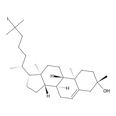 C[C@H](CCCC(C)(C)I)[C@H]1CC[C@H]2[C@@H]3CC=C4C[C@@](C)(O)CC[C@]4(C)[C@H]3CC[C@]12C